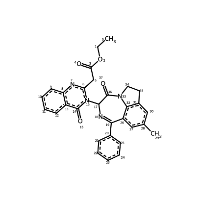 CCOC(=O)Cc1nc2ccccc2c(=O)n1C1N=C(c2ccccc2)c2cc(C)cc3c2N(CC3)C1=O